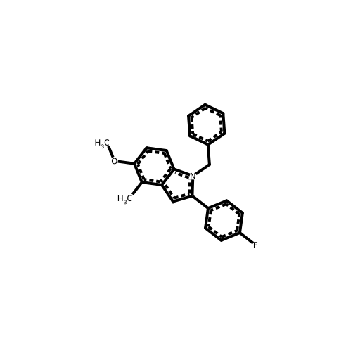 COc1ccc2c([c]c(-c3ccc(F)cc3)n2Cc2ccccc2)c1C